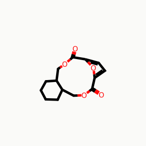 O=C1OCC2CCCCC2COC(=O)c2ccc1o2